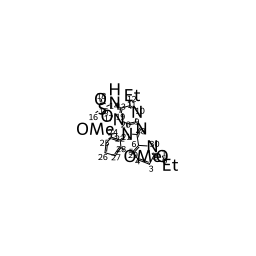 CCOc1cccc(-c2nc3nc(CC)c(NS(C)(=O)=O)nc3n2-c2c(OC)cccc2OC)n1